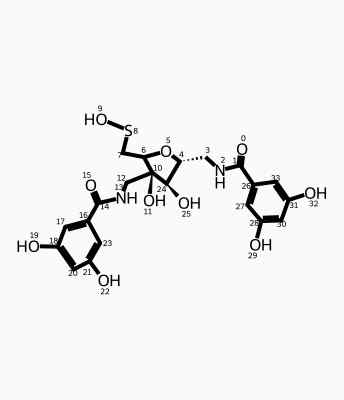 O=C(NC[C@H]1OC(CSO)[C@@](O)(CNC(=O)c2cc(O)cc(O)c2)[C@@H]1O)c1cc(O)cc(O)c1